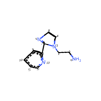 NCCN1CCN=C1c1ccccn1